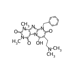 CN(C)CCc1c(O)n2c3c(=O)n(C)c(=O)n(C)c3nc2n(Cc2ccccc2)c1=O